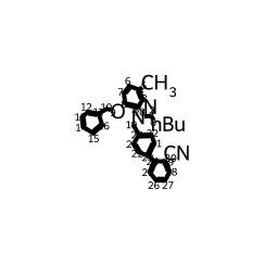 CCCCc1nc2c(C)ccc(OCc3ccccc3)c2n1Cc1ccc(-c2ccccc2C#N)cc1